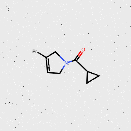 CC(C)C1=CCN(C(=O)C2CC2)C1